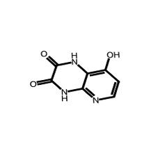 O=c1[nH]c2nccc(O)c2[nH]c1=O